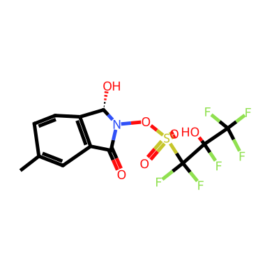 Cc1ccc2c(c1)C(=O)N(OS(=O)(=O)C(F)(F)C(O)(F)C(F)(F)F)[C@H]2O